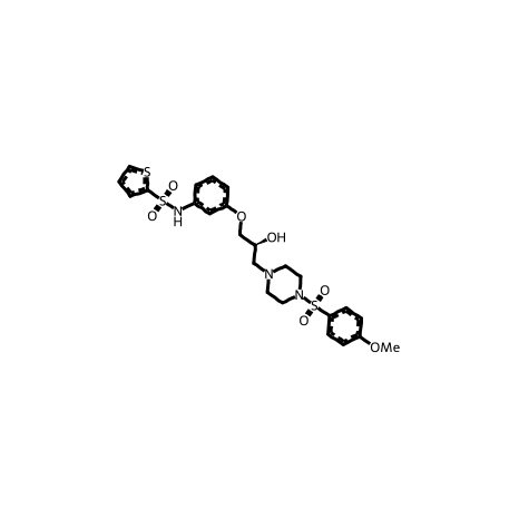 COc1ccc(S(=O)(=O)N2CCN(C[C@H](O)COc3cccc(NS(=O)(=O)c4cccs4)c3)CC2)cc1